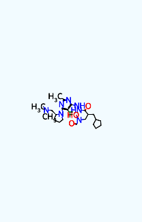 Cc1nc(NNC(=O)[C@@H](CC2CCCC2)CN(O)C=O)c(F)c(N2CCC[C@H]2CN(C)C)n1